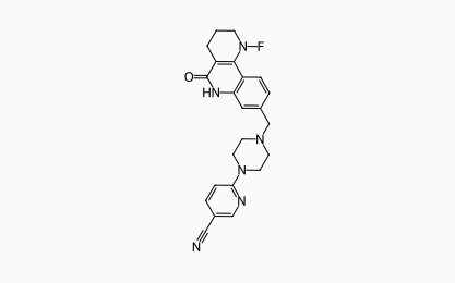 N#Cc1ccc(N2CCN(Cc3ccc4c5c(c(=O)[nH]c4c3)CCCN5F)CC2)nc1